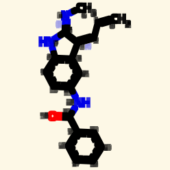 C=C/C=C1\C(=N/C)Nc2ccc(NC(=O)c3ccccc3)cc21